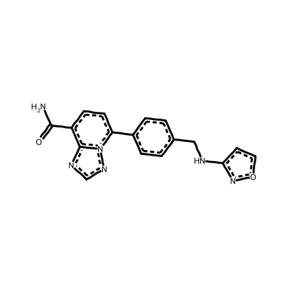 NC(=O)c1ccc(-c2ccc(CNc3ccon3)cc2)n2n[c]nc12